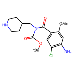 COc1cc(N)c(Cl)cc1C(=O)N(CC1CCNCC1)C(=O)OC(C)(C)C